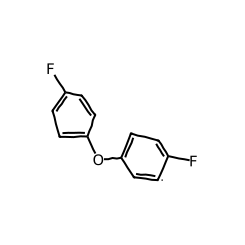 Fc1[c]cc(Oc2ccc(F)cc2)cc1